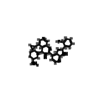 NC1CCCN(C2NC(c3ccnc4[nH]c(-c5ccccc5F)cc34)=Nc3cncc(C4CC4)c32)C1